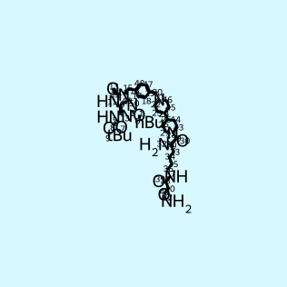 CCCCOc1nc(NC(=O)OC(C)(C)C)c2[nH]c(=O)n(Cc3ccc(CN4CCC(C5CCN(C(=O)[C@@H](N)CCCCNC(=O)CON)CC5)CC4)cc3)c2n1